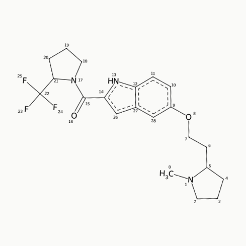 CN1CCCC1CCOc1ccc2[nH]c(C(=O)N3CCCC3C(F)(F)F)cc2c1